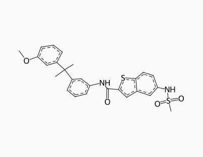 COc1cccc(C(C)(C)c2cccc(NC(=O)c3cc4cc(NS(C)(=O)=O)ccc4s3)c2)c1